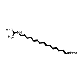 CCCCCC=CCC=CCC=CCC=CCCCCNC(C)OC